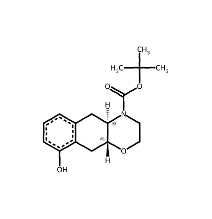 CC(C)(C)OC(=O)N1CCO[C@@H]2Cc3c(O)cccc3C[C@H]21